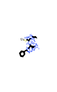 CCSc1[nH]n2nc(C)nc2c1NC1(N)C(N)=Nn2nc(-c3ccccc3)nc21